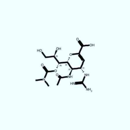 CC(=O)N[C@H]1[C@H]([C@H](OC(=O)N(C)C)[C@H](O)CO)OC(C(=O)O)=C[C@@H]1NC(=N)N